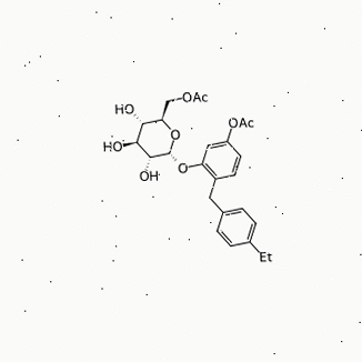 CCc1ccc(Cc2ccc(OC(C)=O)cc2O[C@H]2O[C@H](COC(C)=O)[C@@H](O)[C@H](O)[C@H]2O)cc1